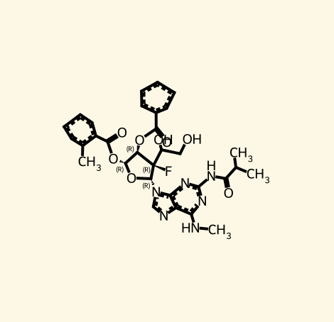 CNc1nc(NC(=O)C(C)C)nc2c1ncn2[C@@H]1O[C@H](OC(=O)c2ccccc2C)[C@@H](OC(=O)c2ccccc2)[C@]1(F)C(O)CO